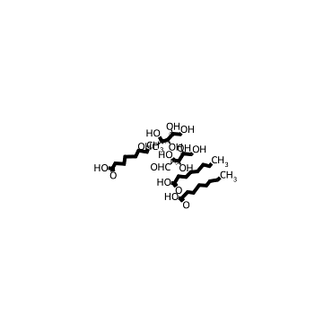 CCCCCCCC(=O)O.CCCCCCCC(=O)O.CCCCCCCC(=O)O.O=C[C@H](O)[C@@H](O)[C@H](O)CO.O=C[C@H](O)[C@@H](O)[C@H](O)CO